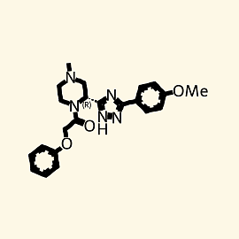 COc1ccc(-c2n[nH]c([C@H]3CN(C)CCN3C(=O)COc3ccccc3)n2)cc1